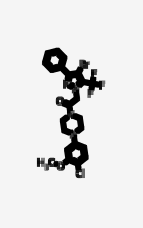 COc1cc(N2CCN(C(=O)Cn3nc(-c4ccccc4)c(Br)c3C(F)(F)F)CC2)ccc1Cl